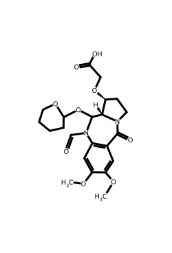 COc1cc2c(cc1OC)N(C=O)C(OC1CCCCO1)[C@@H]1[C@@H](OCC(=O)O)CCN1C2=O